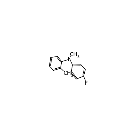 Cc1ccccc1N(C)c1ccc(F)cc1